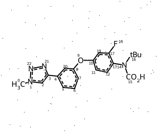 Cn1cc(-c2cccc(Oc3ccc(N(C(=O)O)C(C)(C)C)c(F)c3)c2)nn1